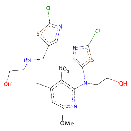 COc1cc(C)c([N+](=O)[O-])c(N(CCO)c2cnc(Cl)s2)n1.OCCNCc1cnc(Cl)s1